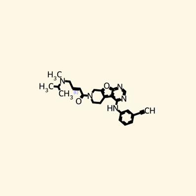 C#Cc1cccc(Nc2ncnc3oc4c(c23)CCN(C(=O)/C=C/CN(C)C(C)C)C4)c1